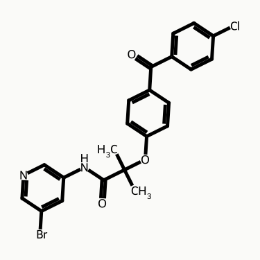 CC(C)(Oc1ccc(C(=O)c2ccc(Cl)cc2)cc1)C(=O)Nc1cncc(Br)c1